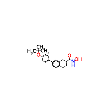 CC(C)(C)Oc1ccc(-c2ccc3c(c2)CC(C(=O)NO)CC3)cc1